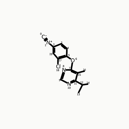 [C-]#[N+]c1ccc(Oc2ncnc(C(C)C)c2C)c(Cl)c1